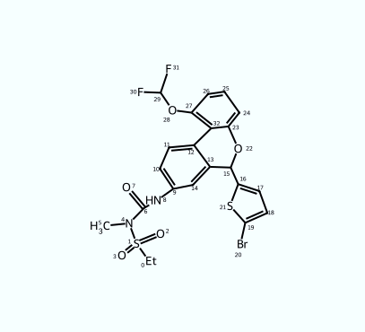 CCS(=O)(=O)N(C)C(=O)Nc1ccc2c(c1)C(c1ccc(Br)s1)Oc1cccc(OC(F)F)c1-2